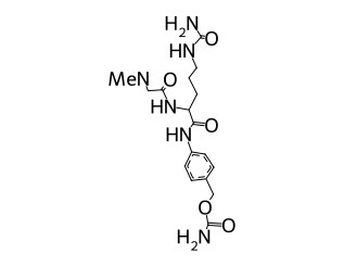 CNCC(=O)NC(CCCNC(N)=O)C(=O)Nc1ccc(COC(N)=O)cc1